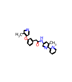 Cc1cnccc1Oc1cccc(CC(=O)Nc2cnc(-c3ccccn3)c(C)c2)c1